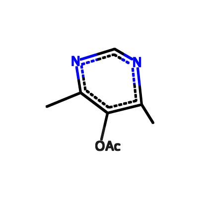 CC(=O)Oc1c(C)ncnc1C